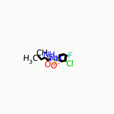 CC(C)CC(N)C(=O)N[S+]([O-])c1ccc(F)c(Cl)c1